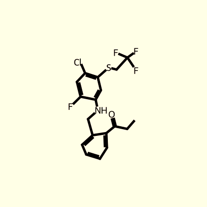 CCC(=O)c1ccccc1CNc1cc(SCC(F)(F)F)c(Cl)cc1F